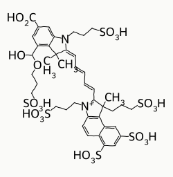 CC1(CCCS(=O)(=O)O)C(/C=C/C=C/C=C2/N(CCCS(=O)(=O)O)c3cc(C(=O)O)cc(C(O)OCCCS(=O)(=O)O)c3C2(C)C)=[N+](CCCS(=O)(=O)O)c2ccc3c(S(=O)(=O)O)cc(S(=O)(=O)O)cc3c21